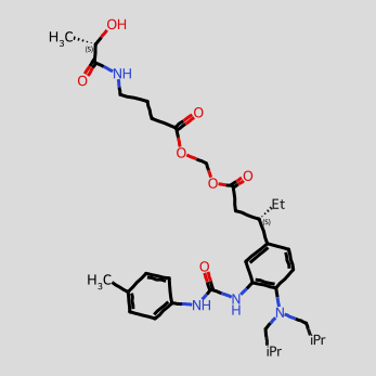 CC[C@@H](CC(=O)OCOC(=O)CCCNC(=O)[C@H](C)O)c1ccc(N(CC(C)C)CC(C)C)c(NC(=O)Nc2ccc(C)cc2)c1